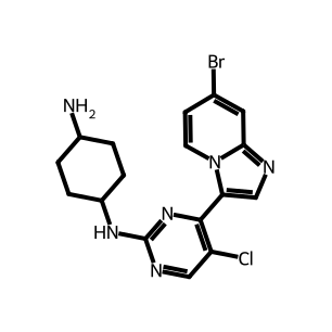 NC1CCC(Nc2ncc(Cl)c(-c3cnc4cc(Br)ccn34)n2)CC1